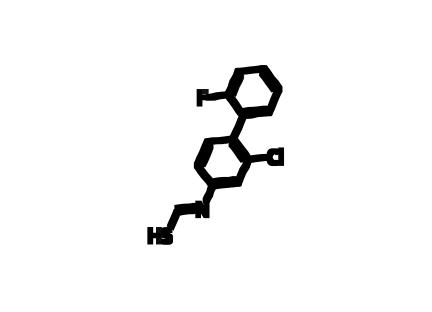 Fc1ccccc1-c1ccc(N=CS)cc1Cl